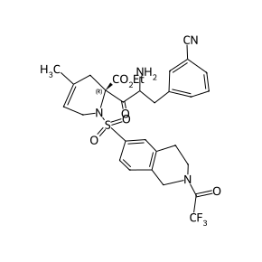 CCOC(=O)[C@]1(C(=O)C(N)Cc2cccc(C#N)c2)CC(C)=CCN1S(=O)(=O)c1ccc2c(c1)CCN(C(=O)C(F)(F)F)C2